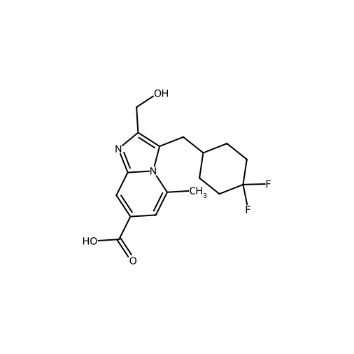 Cc1cc(C(=O)O)cc2nc(CO)c(CC3CCC(F)(F)CC3)n12